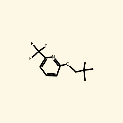 CC(C)(C)COc1cccc(C(F)(F)F)n1